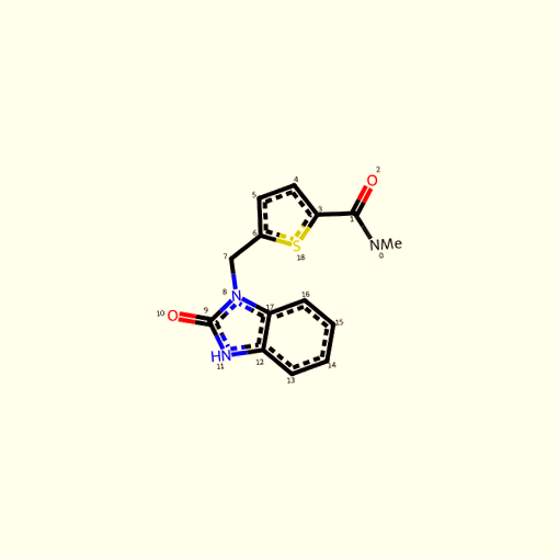 CNC(=O)c1ccc(Cn2c(=O)[nH]c3ccccc32)s1